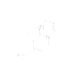 CS(=O)(=O)O.O=C(O)C1=CCN2C=CC=CC2=C1